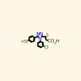 O=C(O)CC(=S)c1nnc(-c2ccc(S)cc2)n1-c1cccc(Cl)c1